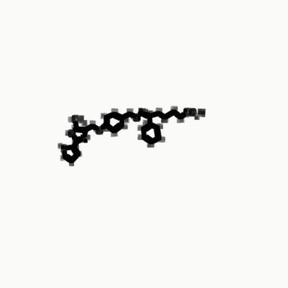 Cc1oc(-c2cccs2)nc1COc1ccc(CO/N=C(/CCCCC(=O)O)c2ccccc2)cc1